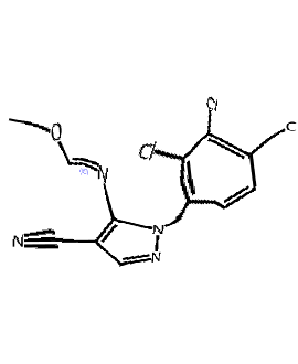 CO/C=N/c1c(C#N)cnn1-c1ccc(Cl)c(Cl)c1Cl